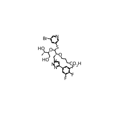 C[C@@H](O)C(CO)OC(Sc1cncc(Br)c1)[C@H](Cn1cc(-c2cc(F)c(F)c(F)c2)nn1)OCCCC(=O)O